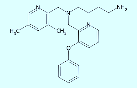 Cc1cnc(CN(CCCCN)Cc2ncccc2Oc2ccccc2)c(C)c1